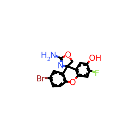 NC1=NC2(CO1)c1cc(Br)ccc1Oc1cc(F)c(O)cc12